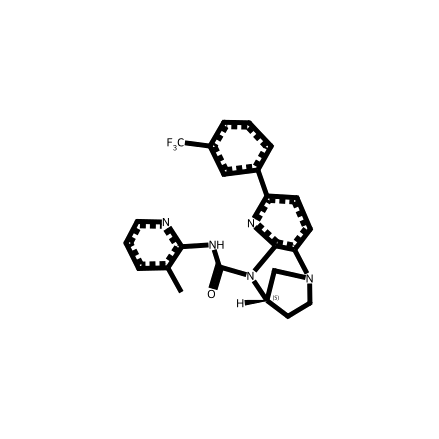 Cc1cccnc1NC(=O)N1c2nc(-c3cccc(C(F)(F)F)c3)ccc2N2CC[C@H]1C2